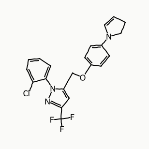 FC(F)(F)c1cc(COc2ccc(N3C=CCC3)cc2)n(-c2ccccc2Cl)n1